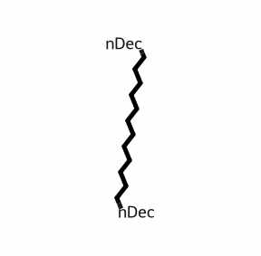 CCCCCCCC[CH]CCCCCCCCCCCCCCCCCCCCCCC